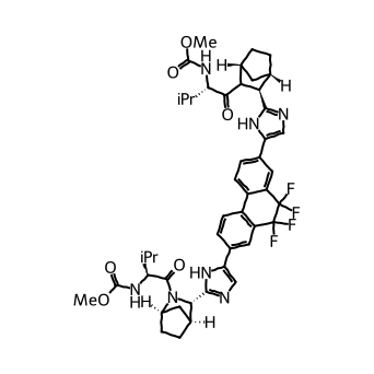 COC(=O)N[C@H](C(=O)C1[C@@H]2CC[C@@H](C2)[C@H]1c1ncc(-c2ccc3c(c2)C(F)(F)C(F)(F)c2cc(-c4cnc([C@@H]5[C@H]6CC[C@H](C6)N5C(=O)[C@@H](NC(=O)OC)C(C)C)[nH]4)ccc2-3)[nH]1)C(C)C